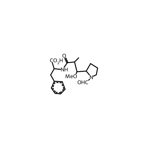 COC(C(C)C(=O)NC(Cc1ccccc1)C(=O)O)C1CCCN1C=O